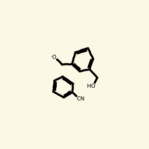 N#Cc1ccccc1.[O]Cc1cccc(CO)c1